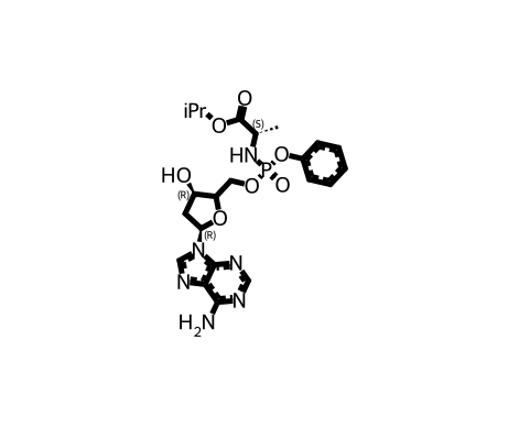 CC(C)OC(=O)[C@H](C)NP(=O)(OCC1O[C@@H](n2cnc3c(N)ncnc32)C[C@H]1O)Oc1ccccc1